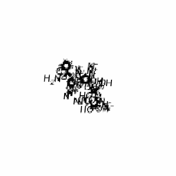 [N-]=[N+]=NC[C@@H]1O[C@H](O[C@H]2[C@@H](O)[C@H](O[C@@H]3[C@@H](O)[C@H](N=[N+]=[N-])C[C@H](N=[N+]=[N-])[C@H]3O[C@H]3O[C@H](CC(OC(N)=O)c4ccccc4)CC[C@H]3N=[N+]=[N-])O[C@@H]2CO)[C@H](N=[N+]=[N-])[C@@H](O)[C@@H]1O